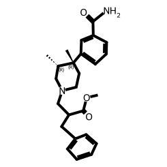 COC(=O)C(Cc1ccccc1)CN1CC[C@@](C)(c2cccc(C(N)=O)c2)[C@@H](C)C1